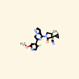 COc1cc(-c2cn3nccc3c(N3C[C@@H](C)[C@@](C#N)(C4CC4)C3=O)n2)c(F)cn1